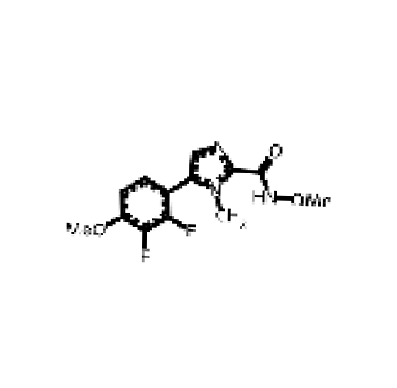 CONC(=O)c1ncc(-c2ccc(OC)c(F)c2F)n1C